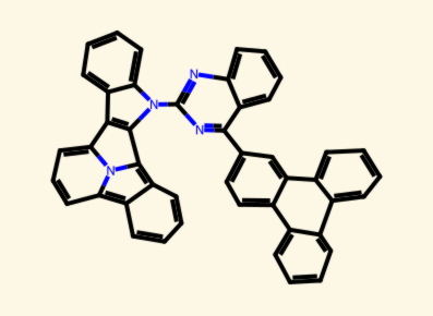 c1ccc2c(-c3ccc4c5ccccc5c5ccccc5c4c3)nc(-n3c4ccccc4c4c3c3c5ccccc5c5cccc4n53)nc2c1